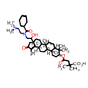 CC(C)C1=C2[C@H]3CC[C@@H]4[C@@]5(C)CC[C@H](OC(=O)CC(C)(C)C(=O)O)C(C)(C)[C@H]5CC[C@@]4(C)[C@]3(C)CCC2(C(O)CN(CCN(C)C)C(=O)C2CCCCC2)CC1=O